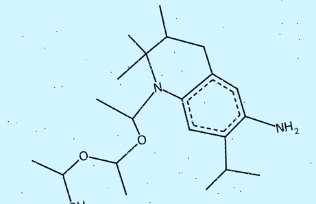 CC(O)OC(C)OC(C)N1c2cc(C(C)C)c(N)cc2CC(C)C1(C)C